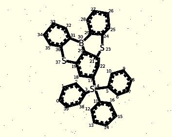 c1ccc([Si](c2ccccc2)(c2ccccc2)c2cc3c4c(c2)Sc2ccccc2B4c2ccccc2S3)cc1